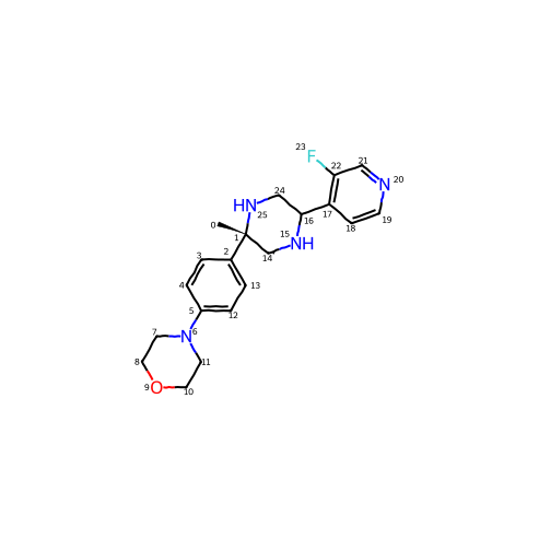 C[C@]1(c2ccc(N3CCOCC3)cc2)[CH]NC(c2ccncc2F)CN1